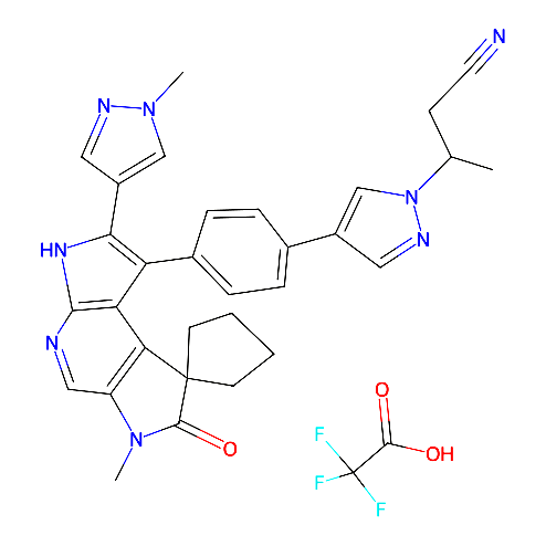 CC(CC#N)n1cc(-c2ccc(-c3c(-c4cnn(C)c4)[nH]c4ncc5c(c34)C3(CCCC3)C(=O)N5C)cc2)cn1.O=C(O)C(F)(F)F